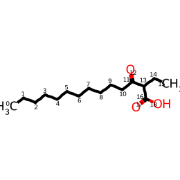 CCCCCCCCCCCC(=O)C(CC)C(=O)O